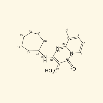 Cc1cccn2c(=O)c(C(=O)O)c(NC3CCCCCC3)nc12